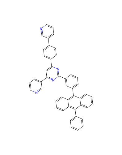 c1ccc(-c2c3ccccc3c(-c3cccc(-c4nc(-c5ccc(-c6cccnc6)cc5)cc(-c5cccnc5)n4)c3)c3ccccc23)cc1